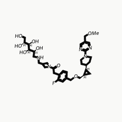 COCc1cnc(N2CCC([C@H]3C[C@H]3COCc3ccc(CC(=O)N4CC(CNC[C@H](O)[C@@H](O)[C@H](O)[C@H](O)CO)C4)c(F)c3)CC2)nc1